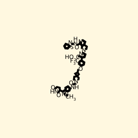 Cn1nc(C2CCC(=O)NC2=O)c2ccc(NC(=O)CN3CCC4(CC3)CC(COc3ccc(-c5ccc(N6CCc7ccnc(C(=O)Nc8nc9ccccc9s8)c7C6)nc5C(=O)O)c(C(F)(F)F)c3)C4)cc21